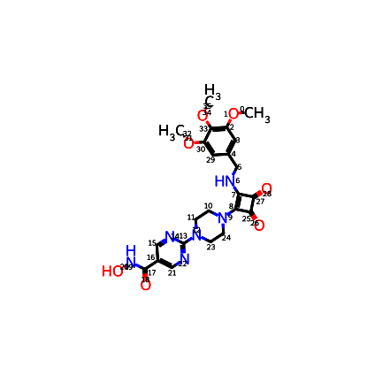 COc1cc(CNc2c(N3CCN(c4ncc(C(=O)NO)cn4)CC3)c(=O)c2=O)cc(OC)c1OC